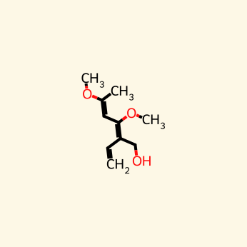 C=C/C(CO)=C(\C=C(/C)OC)OC